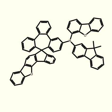 CC1(C)c2ccccc2-c2ccc(N(c3ccc4c(c3)-c3ccccc3-c3ccccc3C43c4ccccc4-c4c3ccc3c4oc4ccccc43)c3cccc4c3oc3ccccc34)cc21